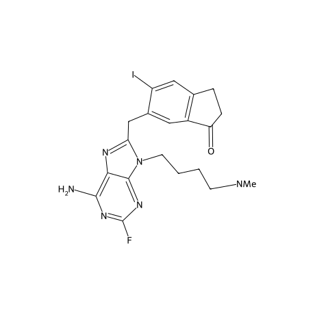 CNCCCCn1c(Cc2cc3c(cc2I)CCC3=O)nc2c(N)nc(F)nc21